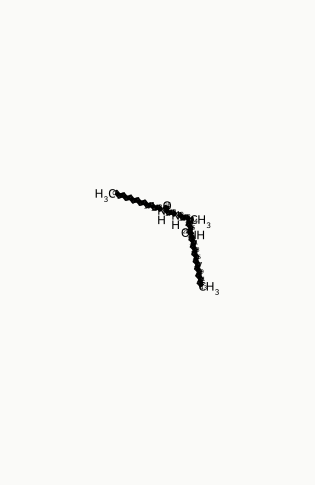 CCCCCCCCCCCCCCNC(=O)CCNCCCN(C)CCC(=O)NCCCCCCCCCCCCCC